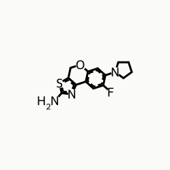 Nc1nc2c(s1)COc1cc(N3CCCC3)c(F)cc1-2